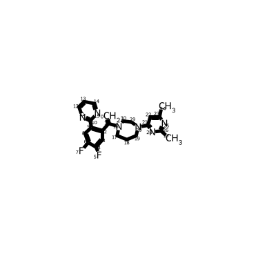 C=C(c1cc(F)c(F)cc1-c1ncccn1)N1CCCN(c2cc(C)nc(C)n2)CC1